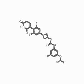 O=C1CCC(c2c(F)cc(N3CC(OC(=O)Nc4cc(F)cc(OC(F)F)c4)C3)cc2F)C(=O)N1